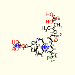 CC(C)C.CC(C)C.FC(F)(F)c1cc(-c2ccco2)[nH]n1.N.O=C(O)O.O=C(O)O.c1ccc2cnccc2c1